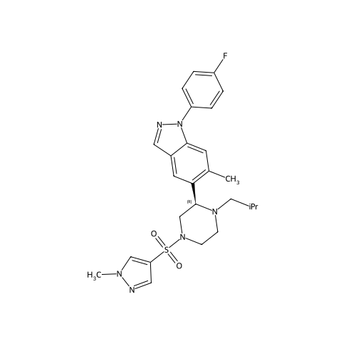 Cc1cc2c(cnn2-c2ccc(F)cc2)cc1[C@@H]1CN(S(=O)(=O)c2cnn(C)c2)CCN1CC(C)C